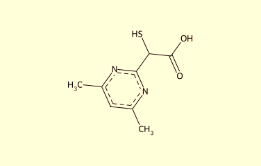 Cc1cc(C)nc(C(S)C(=O)O)n1